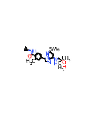 CSc1cc(NCC(C)(C)O)c2ncc(-c3ccc(C(=O)NC4CC4)c(C)c3)n2n1